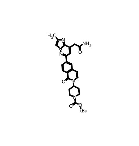 Cc1cn2nc(-c3ccc4c(=O)n(C5CCN(C(=O)OC(C)(C)C)CC5)ccc4c3)cc(CC(N)=O)c2n1